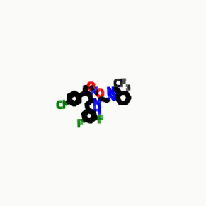 O=C(Cn1nc(C(F)(F)F)c2c1CCCC2)NC(Cc1cc(F)cc(F)c1)c1nocc1-c1ccc(Cl)cc1